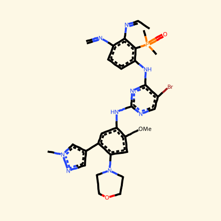 C=Nc1ccc(Nc2nc(Nc3cc(-c4cnn(C)c4)c(N4CCOCC4)cc3OC)ncc2Br)c(P(C)(C)=O)c1/N=C\C